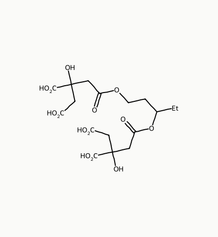 CCC(CCOC(=O)CC(O)(CC(=O)O)C(=O)O)OC(=O)CC(O)(CC(=O)O)C(=O)O